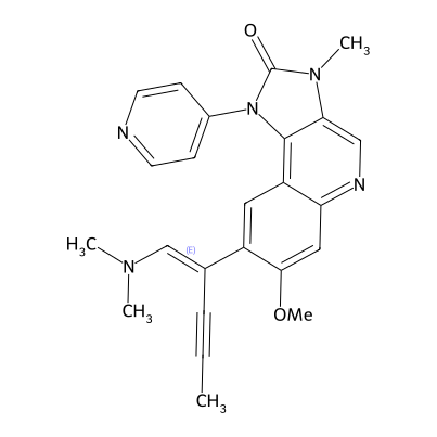 CC#C/C(=C\N(C)C)c1cc2c(cc1OC)ncc1c2n(-c2ccncc2)c(=O)n1C